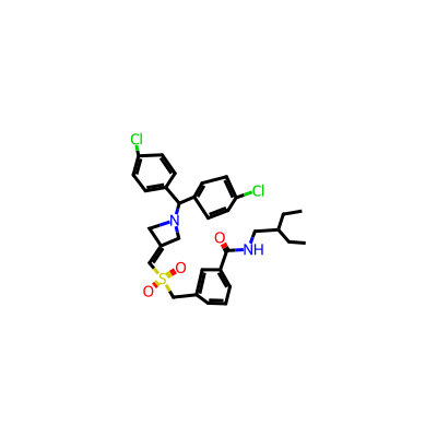 CCC(CC)CNC(=O)c1cccc(CS(=O)(=O)C=C2CN(C(c3ccc(Cl)cc3)c3ccc(Cl)cc3)C2)c1